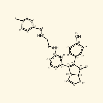 Cc1ccc(SNCCNc2nccc(C3=C(c4ccc(O)cc4)N(C)C4SC=CN34)n2)cc1